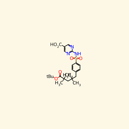 CC(C)(Cc1ccc(S(=O)(=O)Nc2ncc(C(=O)O)cn2)cc1)CC(C)(C)C(=O)OC(C)(C)C